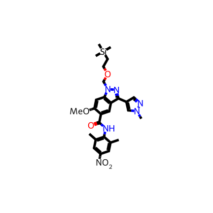 COc1cc2c(cc1C(=O)Nc1c(C)cc([N+](=O)[O-])cc1C)c(-c1cnn(C)c1)nn2COCC[Si](C)(C)C